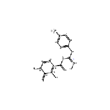 C=C(O/C(Cc1ccc(P)cc1)=N\C)C1=C(C)C(=C)N(C)C=N1